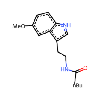 CCCCC(=O)NCCc1c[nH]c2ccc(OC)cc12